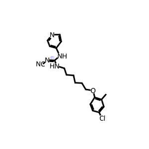 Cc1cc(Cl)ccc1OCCCCCCN/C(=N\C#N)Nc1ccncc1